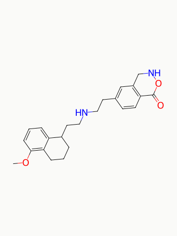 COc1cccc2c1CCCC2CCNCCc1ccc2c(c1)CNOC2=O